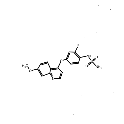 COc1ccc2c(Oc3ccc(NS(N)(=O)=O)c(F)c3)ccnc2c1